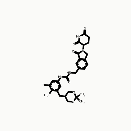 Cc1c(Cl)cc(NC(=O)NCc2ccc3c(c2)C(=O)N(C2CCC(=O)NC2=O)C3)cc1CC1COC(C)(C)OC1